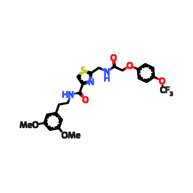 COc1cc(CCNC(=O)c2csc(CNC(=O)COc3ccc(OC(F)(F)F)cc3)n2)cc(OC)c1